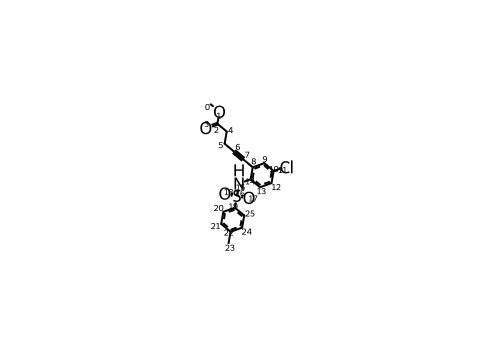 COC(=O)CCC#Cc1cc(Cl)ccc1NS(=O)(=O)c1ccc(C)cc1